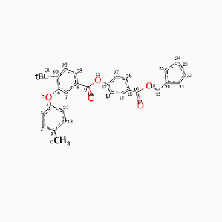 Cc1ccc(Oc2cc(C(=O)Oc3ccc(C(=O)OCc4ccccc4)cc3)ccc2C(C)(C)C)cc1